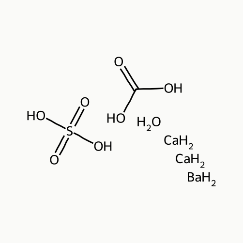 O.O=C(O)O.O=S(=O)(O)O.[BaH2].[CaH2].[CaH2]